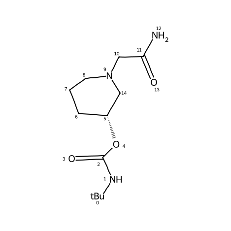 CC(C)(C)NC(=O)O[C@@H]1CCCN(CC(N)=O)C1